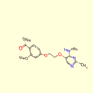 CCCCNc1nc(C)ncc1OCCOc1ccc(C(=O)OC)c(OC)c1